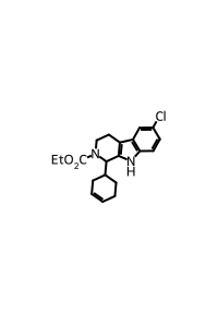 CCOC(=O)N1CCc2c([nH]c3ccc(Cl)cc23)C1C1CC=CCC1